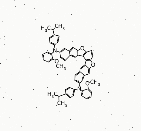 COc1ccccc1N(c1ccc(C(C)C)cc1)c1ccc2cc3c(cc2c1)oc1ccc2oc4cc5cc(N(c6ccc(C(C)C)cc6)c6ccccc6OC)ccc5cc4c2c13